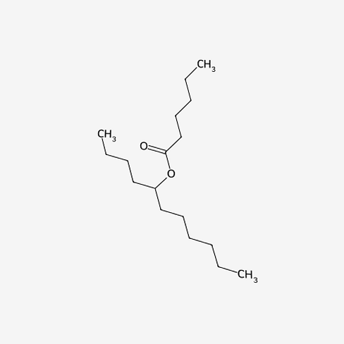 CCCCCCC(CCCC)OC(=O)CCCCC